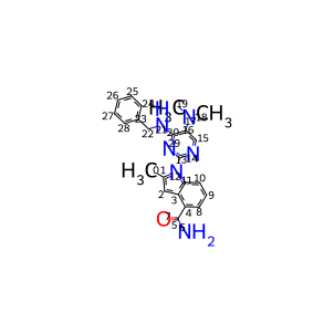 Cc1cc2c(C(N)=O)cccc2n1-c1ncc(N(C)C)c(NCc2ccccc2)n1